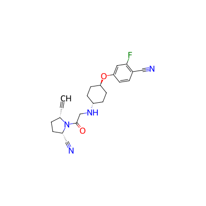 C#C[C@H]1CC[C@@H](C#N)N1C(=O)CN[C@H]1CC[C@H](Oc2ccc(C#N)c(F)c2)CC1